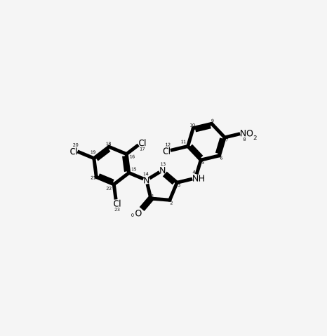 O=C1CC(Nc2cc([N+](=O)[O-])ccc2Cl)=NN1c1c(Cl)cc(Cl)cc1Cl